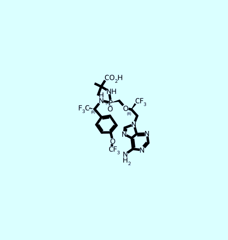 CC(C)(N[P@@](=O)(CO[C@H](Cn1cnc2c(N)ncnc21)C(F)(F)F)N[C@H](c1ccc(OC(F)(F)F)cc1)C(F)(F)F)C(=O)O